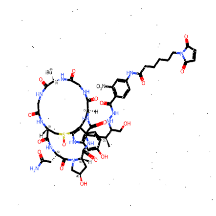 CC[C@@H](C)[C@@H]1NC(=O)CNC(=O)[C@@H]2Cc3c([nH]c4cc(O)ccc34)[S+]([O-])C[C@@H](NC(=O)CNC1=O)C(=O)N[C@@H](CC(N)=O)C(=O)N1C[C@H](O)C[C@H]1C(=O)NC([C@H](C)C(CO)NNC(=O)c1ccc(NC(=O)CCCCCN3C(=O)C=CC3=O)cc1[N+](=O)[O-])C(=O)N2